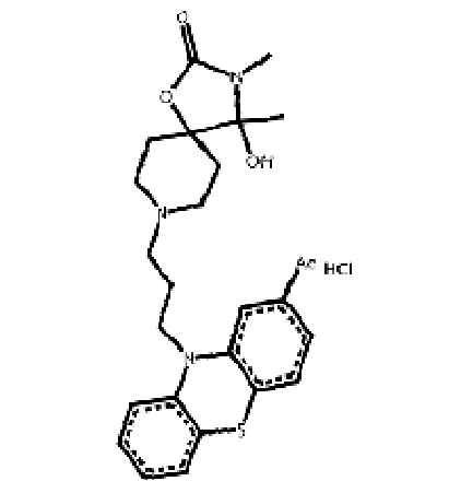 CC(=O)c1ccc2c(c1)N(CCCN1CCC3(CC1)OC(=O)N(C)C3(C)O)c1ccccc1S2.Cl